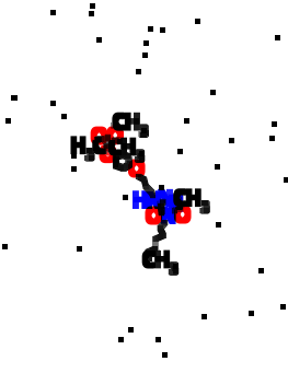 CCCCCCCn1c(=O)c(NCCCCOc2ccc(OC(C)(C)C(=O)OCC)cc2)nn(C)c1=O